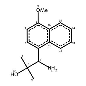 COc1ccc(C(N)C(C)(C)O)c2ccccc12